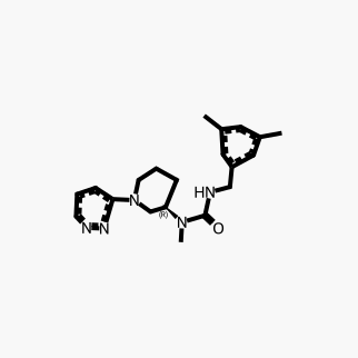 Cc1cc(C)cc(CNC(=O)N(C)[C@@H]2CCCN(c3cccnn3)C2)c1